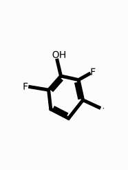 [CH2]c1ccc(F)c(O)c1F